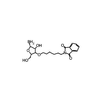 B[C@@H]1O[C@H](CO)C(OCCCCCCN2C(=O)c3ccccc3C2=O)[C@@H]1O